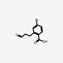 O=CCCc1cc(Br)ccc1C(=O)O